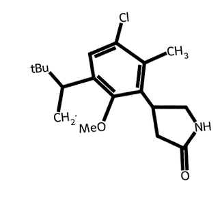 [CH2]C(c1cc(Cl)c(C)c(C2CNC(=O)C2)c1OC)C(C)(C)C